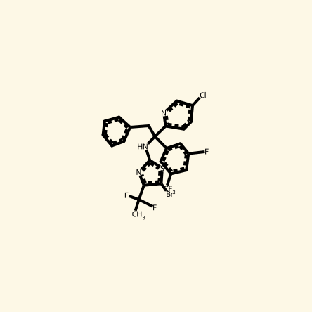 CC(F)(F)c1nc(NC(Cc2ccccc2)(c2cc(F)cc(C(F)(F)F)c2)c2ccc(Cl)cn2)sc1Br